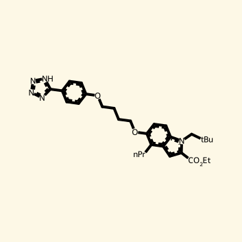 CCCc1c(OCCCCOc2ccc(-c3nnn[nH]3)cc2)ccc2c1cc(C(=O)OCC)n2CC(C)(C)C